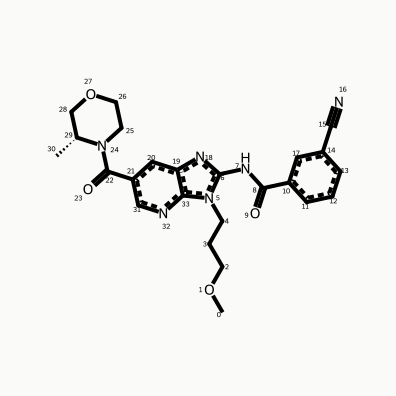 COCCCn1c(NC(=O)c2cccc(C#N)c2)nc2cc(C(=O)N3CCOC[C@H]3C)cnc21